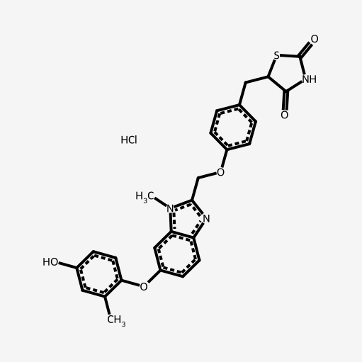 Cc1cc(O)ccc1Oc1ccc2nc(COc3ccc(CC4SC(=O)NC4=O)cc3)n(C)c2c1.Cl